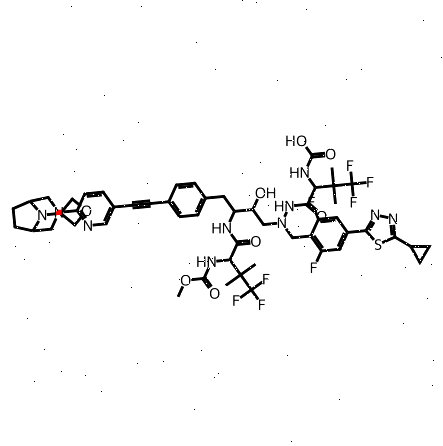 COC(=O)NC(C(=O)NC(Cc1ccc(C#Cc2ccc(N3CC4CCC(C3)N4C3COC3)nc2)cc1)C(O)CN(Cc1c(F)cc(-c2nnc(C3CC3)s2)cc1F)NC(=O)C(NC(=O)O)C(C)(C)C(F)(F)F)C(C)(C)C(F)(F)F